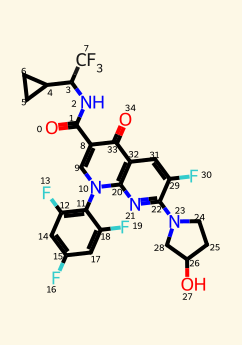 O=C(NC(C1CC1)C(F)(F)F)c1cn(-c2c(F)cc(F)cc2F)c2nc(N3CCC(O)C3)c(F)cc2c1=O